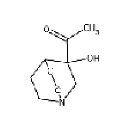 CC(=O)C1(O)CN2CCC1CC2